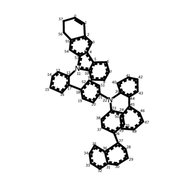 C1=Cc2cc3c4ccccc4n(-c4ccccc4-c4ccc(N(c5ccc(-c6cccc7ccccc67)cc5)c5ccccc5-c5ccccc5)cc4)c3cc2CC1